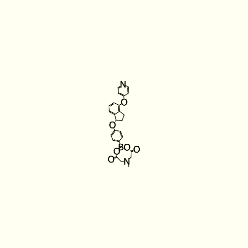 CN1CC(=O)OB(c2ccc(OC3CCc4c(Oc5ccncc5)cccc43)cc2)OC(=O)C1